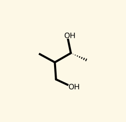 CC(CO)[C@@H](C)O